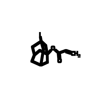 C=CC(=O)OC12CC3CC(CC(I)(C3)C1)C2